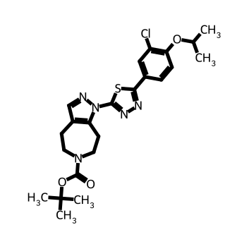 CC(C)Oc1ccc(-c2nnc(-n3ncc4c3CCN(C(=O)OC(C)(C)C)CC4)s2)cc1Cl